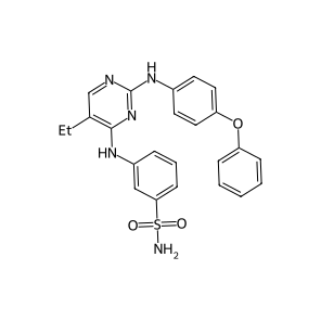 CCc1cnc(Nc2ccc(Oc3ccccc3)cc2)nc1Nc1cccc(S(N)(=O)=O)c1